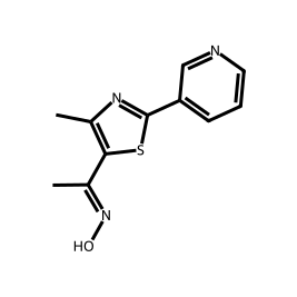 CC(=NO)c1sc(-c2cccnc2)nc1C